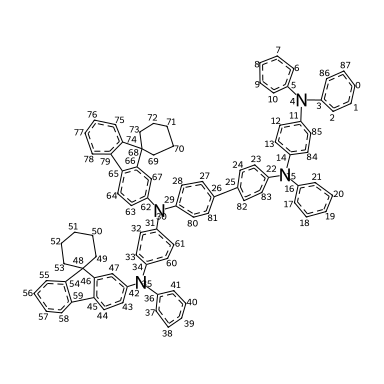 c1ccc(N(c2ccccc2)c2ccc(N(c3ccccc3)c3ccc(-c4ccc(N(c5ccc(N(c6ccccc6)c6ccc7c(c6)C6(CCCCC6)c6ccccc6-7)cc5)c5ccc6c(c5)C5(CCCCC5)c5ccccc5-6)cc4)cc3)cc2)cc1